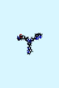 c1cnc2c(c1)ccc1cc(-c3ccc(N(c4ccc(-c5cnc6c(ccc7cccnc76)c5)cc4)c4ccc(-c5ccc6oc7ncccc7c6c5)cc4)cc3)cnc12